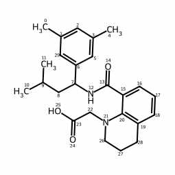 Cc1cc(C)cc(C(CC(C)C)NC(=O)c2cccc3c2N(CC(=O)O)CCC3)c1